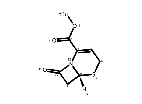 CC(C)(C)OC(=O)C1=CCS[C@@H]2CC(=O)N12